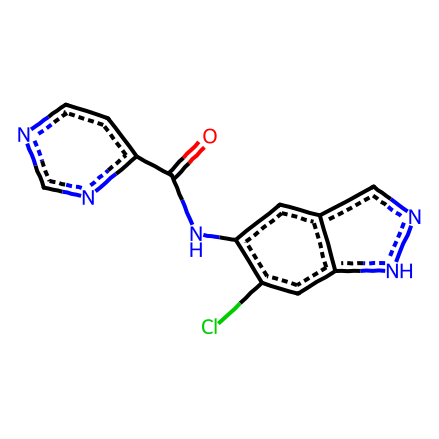 O=C(Nc1cc2cn[nH]c2cc1Cl)c1ccncn1